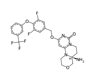 N[C@]12CCn3c(cc(OCc4cc(F)c(Oc5cccc(C(F)(F)F)c5)c(F)c4)nc3=O)N1CCOC2